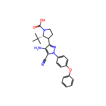 CC(C)(C)[C@H]1C(c2nn(-c3ccc(Oc4ccccc4)cc3)c(C#N)c2N)CCN1C(=O)O